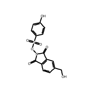 O=C1c2ccc(CO)cc2C(=O)N1OS(=O)(=O)c1ccc(O)cc1